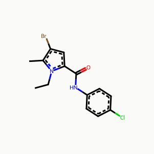 CCn1c(C(=O)Nc2ccc(Cl)cc2)cc(Br)c1C